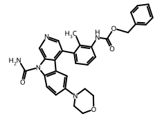 Cc1c(NC(=O)OCc2ccccc2)cccc1-c1cncc2c1c1cc(N3CCOCC3)ccc1n2C(N)=O